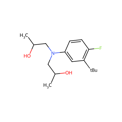 CC(O)CN(CC(C)O)c1ccc(F)c(C(C)(C)C)c1